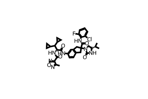 Cc1nonc1C(=O)N[C@H](C(=O)Nc1ccc2c(c1)CC(C(=O)Nc1c(F)cccc1Cl)(N1C[C@@H](C(C)C)NC1=O)C2)C(C1CC1)C1CC1